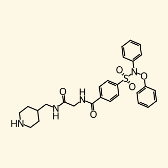 O=C(CNC(=O)c1ccc(S(=O)(=O)N(Oc2ccccc2)c2ccccc2)cc1)NCC1CCNCC1